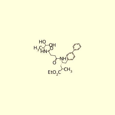 CCOC(=O)[C@H](C)C[C@@H](Cc1ccc(-c2ccccc2)cc1)NC(=O)CCC(=O)N[C@@H](C)C(O)O